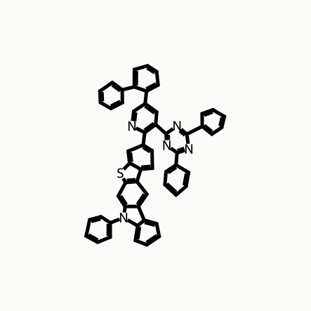 c1ccc(-c2nc(-c3ccccc3)nc(-c3cc(-c4ccccc4-c4ccccc4)cnc3-c3ccc4c(c3)sc3cc5c(cc34)c3ccccc3n5-c3ccccc3)n2)cc1